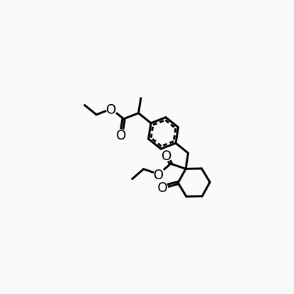 CCOC(=O)C(C)c1ccc(CC2(C(=O)OCC)CCCCC2=O)cc1